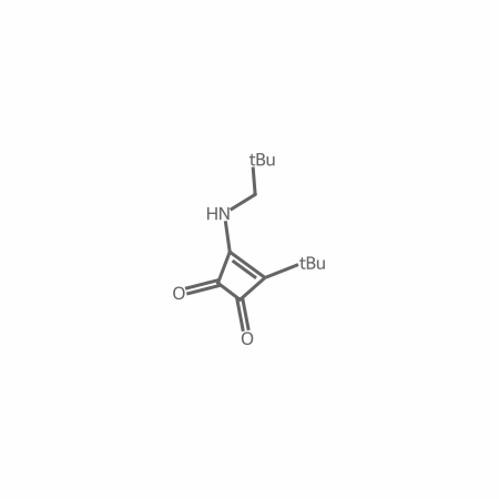 CC(C)(C)CNc1c(C(C)(C)C)c(=O)c1=O